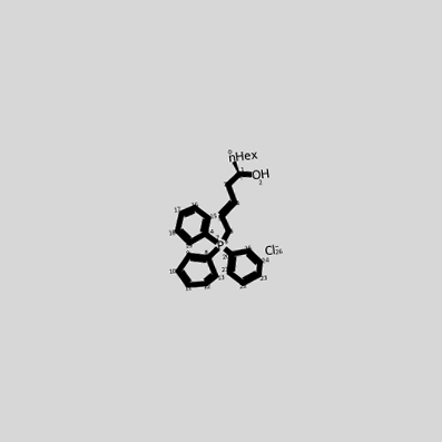 CCCCCC[C@@H](O)CC=CC[P+](c1ccccc1)(c1ccccc1)c1ccccc1.[Cl-]